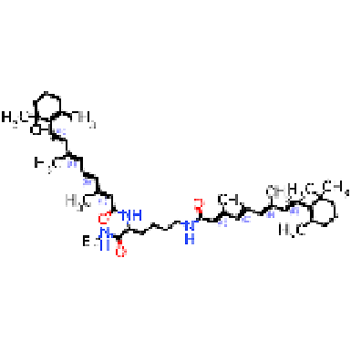 CCNC(=O)C(CCCCNC(=O)/C=C(C)/C=C/C=C(C)/C=C/C1=C(C)CCCC1(C)C)NC(=O)/C=C(C)/C=C/C=C(C)/C=C/C1=C(C)CCCC1(C)C